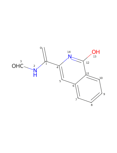 C=C(NC=O)c1cc2ccccc2c(O)n1